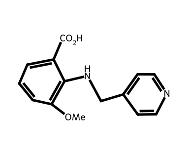 COc1cccc(C(=O)O)c1NCc1ccncc1